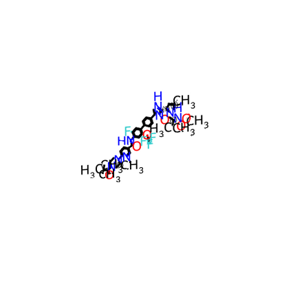 COC(=O)N[C@H](C(=O)N1C[C@@H](C)C[C@H]1c1nc(-c2ccc(-c3cc(F)c(NC(=O)c4ccc(N5CCN(C(=O)C(C)(C)C)C[C@H]5C)nc4)cc3OC(F)(F)F)cc2)c[nH]1)C(C)C